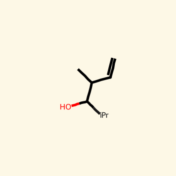 C=CC(C)C(O)C(C)C